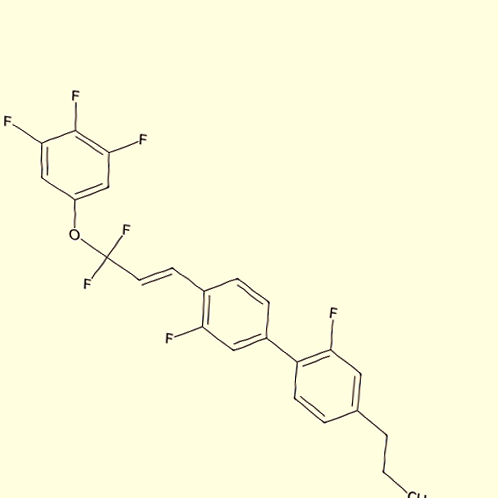 CCCc1ccc(-c2ccc(/C=C/C(F)(F)Oc3cc(F)c(F)c(F)c3)c(F)c2)c(F)c1